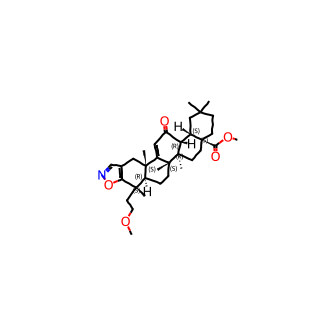 COCC[C@]1(C)c2oncc2C[C@]2(C)C3=CC(=O)[C@@H]4[C@@H]5CC(C)(C)CC[C@]5(C(=O)OC)CC[C@@]4(C)[C@]3(C)CC[C@H]21